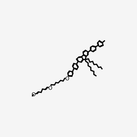 CCCCCCCCC1(CCCCCCCC)c2cc(-c3ccc(-c4ccc(C)cc4)cc3)ccc2-c2ccc(-c3ccc(-c4ccc(OCCCCCCCOC=CCCC=COC)cc4)cc3)cc21